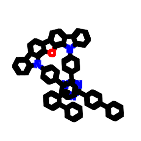 c1ccc(-c2ccc(-c3nc(-c4ccc(-n5c6ccccc6c6ccc7c8ccc9c%10ccccc%10n(-c%10ccc(-c%11ccccc%11)cc%10)c9c8oc7c65)cc4)nc(-c4ccccc4-c4ccccc4)n3)cc2)cc1